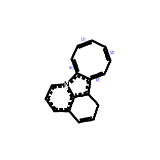 C1=Cc2cccn3c4/c(c(c23)C1)=C\C=C/C=C\C=4